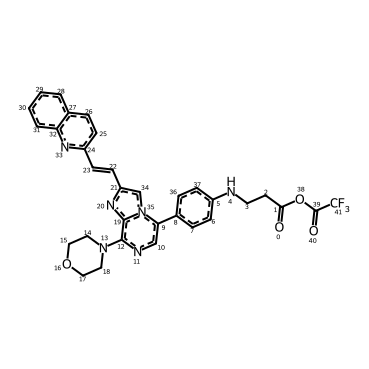 O=C(CCNc1ccc(-c2cnc(N3CCOCC3)c3nc(/C=C/c4ccc5ccccc5n4)cn23)cc1)OC(=O)C(F)(F)F